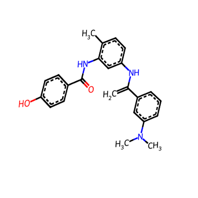 C=C(Nc1ccc(C)c(NC(=O)c2ccc(O)cc2)c1)c1cccc(N(C)C)c1